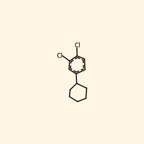 Clc1ccc(C2CCCCC2)cc1Cl